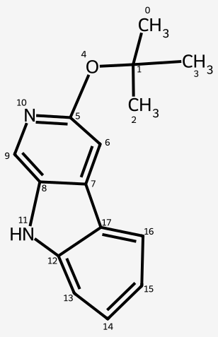 CC(C)(C)Oc1cc2c(cn1)[nH]c1ccccc12